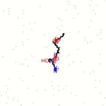 C#CCCCCOP(=O)(S)O/C(=C\CC[C@@H](C)C/C=C(\C)CCO[PH](=O)OC[C@H]1CC(O)CN1C(=O)CCCN=[N+]=[N-])CC